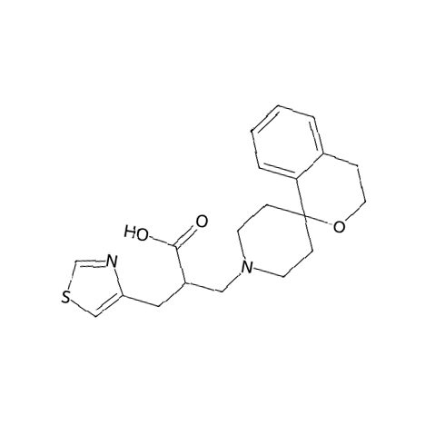 O=C(O)C(Cc1cscn1)CN1CCC2(CC1)OCCc1ccccc12